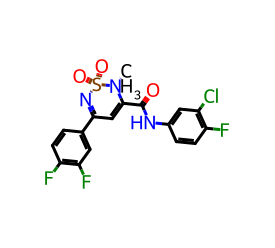 CN1C(C(=O)Nc2ccc(F)c(Cl)c2)=CC(c2ccc(F)c(F)c2)=NS1(=O)=O